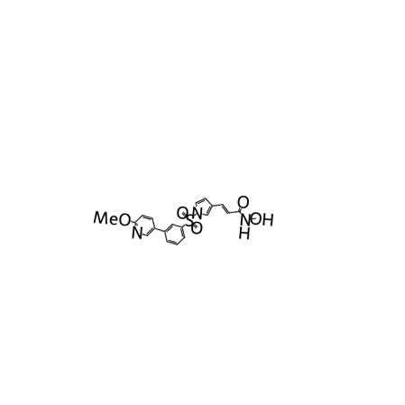 COc1ccc(-c2cccc(S(=O)(=O)n3ccc(C=CC(=O)NO)c3)c2)cn1